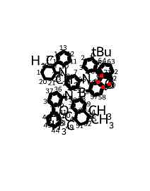 CC(C)(C)c1ccc(N2c3cc(N4c5ccccc5C5(C)CCCCC45C)cc4c3B(c3cc5c(cc3N4c3cccc4c3oc3ccccc34)C(C)(C)CCC5(C)C)c3ccc4oc5ccccc5c4c32)c(-c2ccccc2)c1